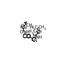 Cc1c(-c2nc3c(-c4ccc5c(c4)CCC[C@H]5NC(=O)c4noc(C5(C)CC5)n4)ccnc3[nH]2)cnn1C(C)C